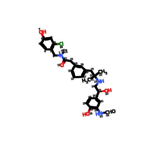 CCN(Cc1ccc(O)cc1Cl)C(=O)Cc1cccc(CC(C)(C)NC[C@@H](O)c2ccc(O)c(NC=O)c2)c1